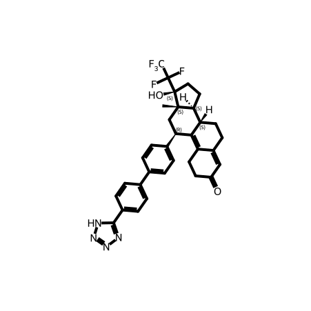 C[C@]12C[C@H](c3ccc(-c4ccc(-c5nnn[nH]5)cc4)cc3)C3=C4CCC(=O)C=C4CC[C@H]3[C@@H]1CC[C@@]2(O)C(F)(F)C(F)(F)F